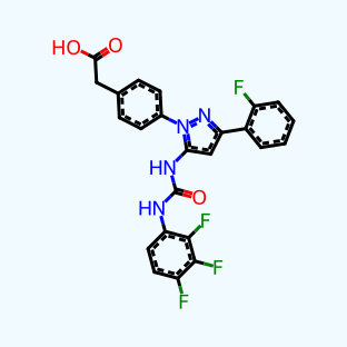 O=C(O)Cc1ccc(-n2nc(-c3ccccc3F)cc2NC(=O)Nc2ccc(F)c(F)c2F)cc1